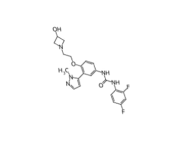 Cn1nccc1-c1cc(NC(=O)Nc2ccc(F)cc2F)ccc1OCCN1CC(O)C1